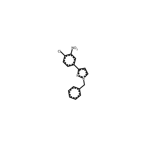 O=[N+]([O-])c1cc(-c2ccn(Cc3ccccc3)n2)ccc1Cl